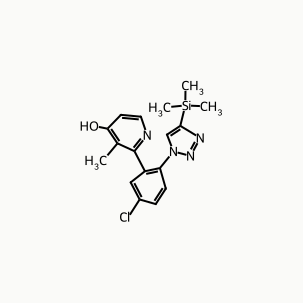 Cc1c(O)ccnc1-c1cc(Cl)ccc1-n1cc([Si](C)(C)C)nn1